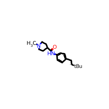 CN1CCC(C(=O)Nc2ccc(C[CH]C(C)(C)C)cc2)CC1